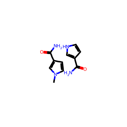 Cn1ccc(C(N)=O)c1.NC(=O)c1cc[nH]c1